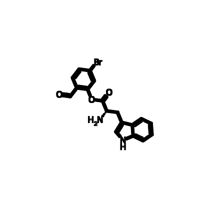 N[C@@H](Cc1c[nH]c2ccccc12)C(=O)Oc1cc(Br)ccc1C=O